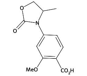 COc1cc(N2C(=O)OCC2C)ccc1C(=O)O